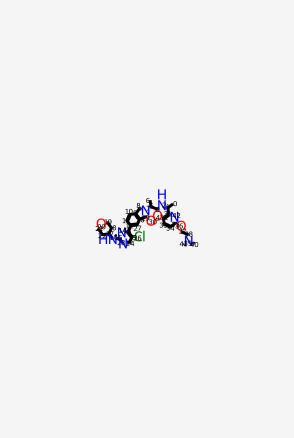 CC(NC(=O)C(C)N1Cc2ccc(-c3nc(NC4CCOCC4)ncc3Cl)cc2C1=O)c1cccc(OCCN(C)C)n1